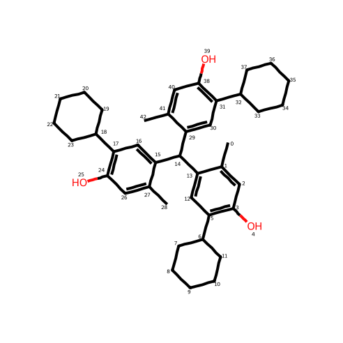 Cc1cc(O)c(C2CCCCC2)cc1C(c1cc(C2CCCCC2)c(O)cc1C)c1cc(C2CCCCC2)c(O)cc1C